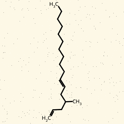 C=CCC(C)CC=CCCCCCCCCCC